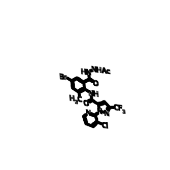 CC(=O)NNC(=O)c1cc(Br)cc(C)c1NC(=O)c1cc(C(F)(F)F)nn1-c1ncccc1Cl